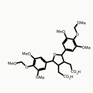 COCOc1c(OC)cc(C2OC(c3cc(OC)c(OCOC)c(OC)c3)C(CC(=O)O)C2CC(=O)O)cc1OC